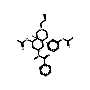 C=CCN1CC[C@@]2(c3cccc(OC(C)=O)c3)C[C@@H](N(C)C(=O)c3ccccc3)CC(OC(C)=O)[C@@H]2C1